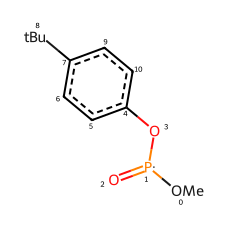 CO[P](=O)Oc1ccc(C(C)(C)C)cc1